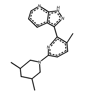 Cc1ccc(N2CC(C)CC(C)C2)nc1-c1n[nH]c2ncccc12